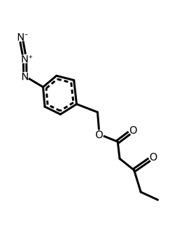 CCC(=O)CC(=O)OCc1ccc(N=[N+]=[N-])cc1